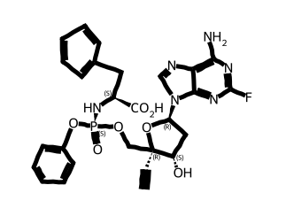 C#C[C@]1(CO[P@@](=O)(N[C@@H](Cc2ccccc2)C(=O)O)Oc2ccccc2)O[C@@H](n2cnc3c(N)nc(F)nc32)C[C@@H]1O